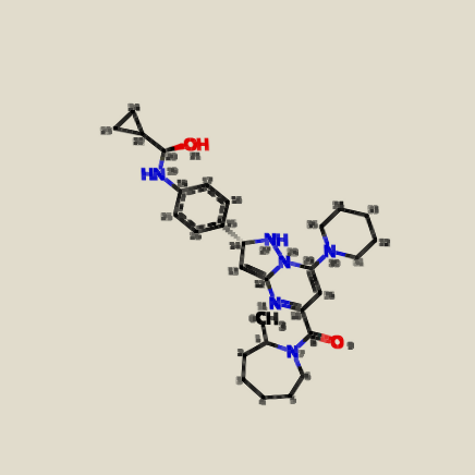 CC1CCCCCN1C(=O)C1=NC2=C[C@H](c3ccc(N[C@H](O)C4CC4)cc3)NN2C(N2CCCCC2)=C1